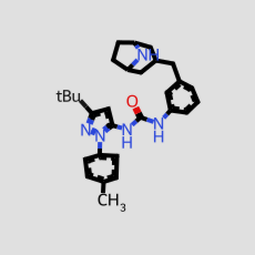 Cc1ccc(-n2nc(C(C)(C)C)cc2NC(=O)Nc2cccc(CC3CC4CCC(C3)N4)c2)cc1